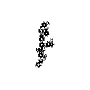 COc1ccc(CN2CCN(C3CC4(CCN(c5ccc(C(=O)NS(=O)(=O)c6ccc(N7CCC(N8CCOCC8)C7)c([N+](=O)[O-])c6)c(Oc6cnc7[nH]ccc7c6)c5)CC4)C3)[C@H](c3ccccc3C(C)C)C2)cc1